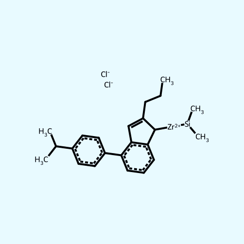 CCCC1=Cc2c(-c3ccc(C(C)C)cc3)cccc2[CH]1[Zr+2][Si](C)C.[Cl-].[Cl-]